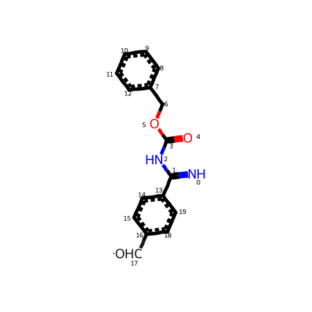 N=C(NC(=O)OCc1ccccc1)c1ccc([C]=O)cc1